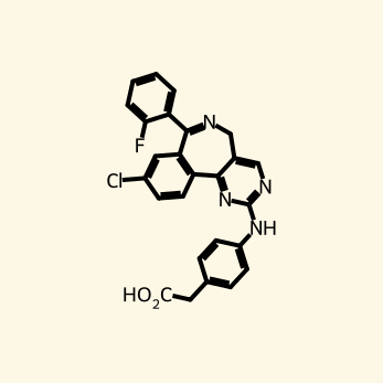 O=C(O)Cc1ccc(Nc2ncc3c(n2)-c2ccc(Cl)cc2C(c2ccccc2F)=NC3)cc1